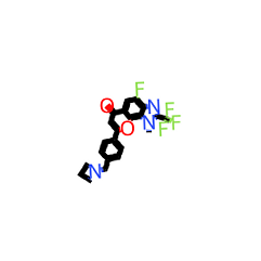 Cn1c(C(F)(F)F)nc2c(F)cc3c(=O)cc(-c4ccc(CN5CCC5)cc4)oc3c21